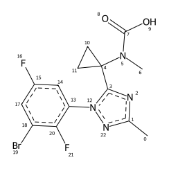 Cc1nc(C2(N(C)C(=O)O)CC2)n(-c2cc(F)cc(Br)c2F)n1